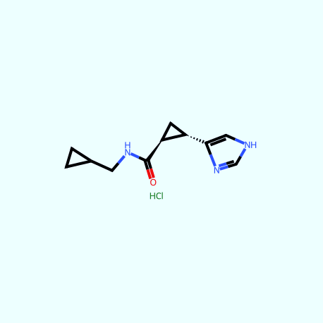 Cl.O=C(NCC1CC1)[C@H]1C[C@@H]1c1c[nH]cn1